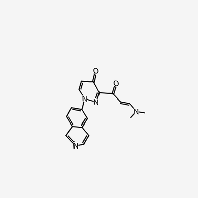 CN(C)C=CC(=O)c1nn(-c2ccc3cnccc3c2)ccc1=O